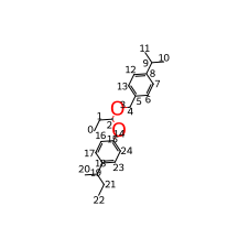 CCC(OCc1ccc(C(C)C)cc1)Oc1ccc(C(C)CC)cc1